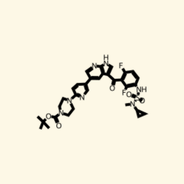 CN(C1CC1)S(=O)(=O)Nc1ccc(F)c(C(=O)c2c[nH]c3ncc(-c4ccc(N5CCN(C(=O)OC(C)(C)C)CC5)nc4)cc23)c1F